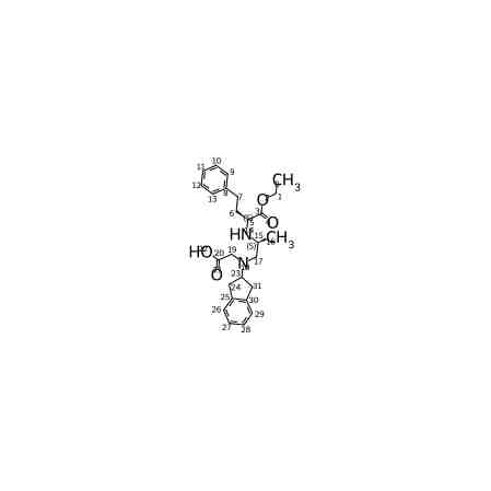 CCOC(=O)[C@H](CCc1ccccc1)N[C@@H](C)CN(CC(=O)O)C1Cc2ccccc2C1